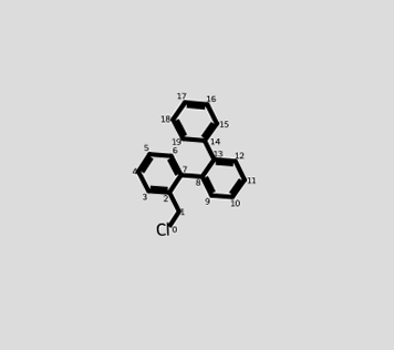 ClCc1ccccc1-c1ccccc1-c1ccccc1